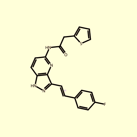 O=C(Cc1cccs1)Nc1ccc2[nH]nc(/C=C/c3ccc(F)cc3)c2n1